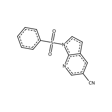 N#Cc1cnc2c(ccn2S(=O)(=O)c2ccccc2)c1